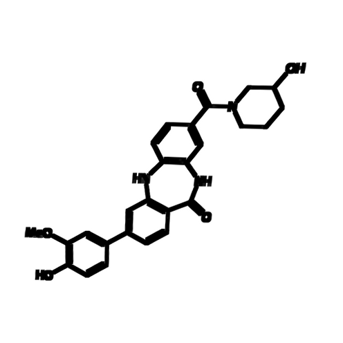 COc1cc(-c2ccc3c(c2)Nc2ccc(C(=O)N4CCCC(O)C4)cc2NC3=O)ccc1O